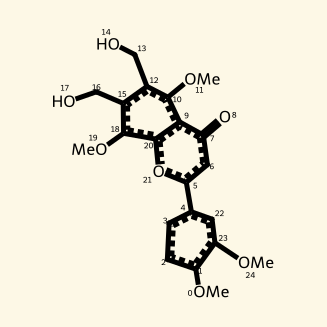 COc1ccc(-c2cc(=O)c3c(OC)c(CO)c(CO)c(OC)c3o2)cc1OC